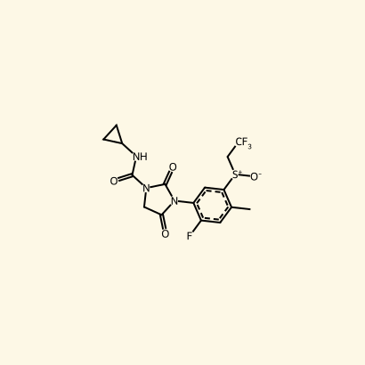 Cc1cc(F)c(N2C(=O)CN(C(=O)NC3CC3)C2=O)cc1[S+]([O-])CC(F)(F)F